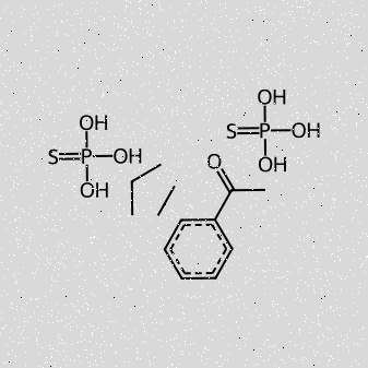 CC.CC(=O)c1ccccc1.CCC.OP(O)(O)=S.OP(O)(O)=S